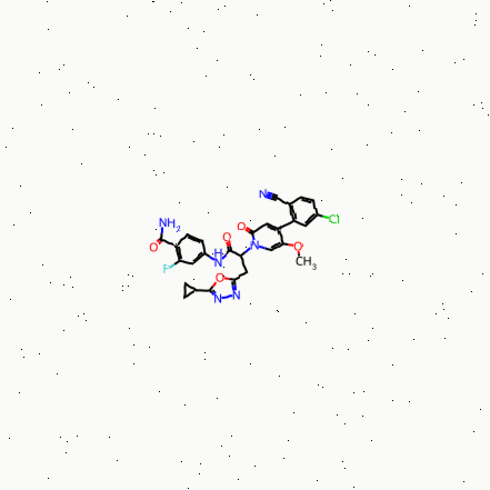 COc1cn(C(Cc2nnc(C3CC3)o2)C(=O)Nc2ccc(C(N)=O)c(F)c2)c(=O)cc1-c1cc(Cl)ccc1C#N